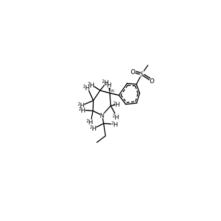 [2H]C([2H])(CC)N1C([2H])([2H])C([2H])([2H])C([2H])([2H])[C@]([2H])(c2cccc(S(C)(=O)=O)c2)C1([2H])[2H]